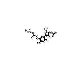 CCOC(=O)COc1cc(-c2nn(C)c(OC(F)F)c2Cl)c(Cl)cc1Cl